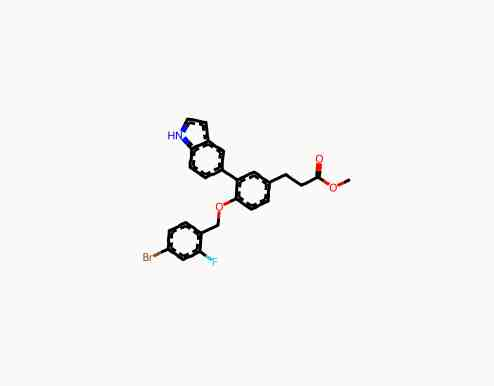 COC(=O)CCc1ccc(OCc2ccc(Br)cc2F)c(-c2ccc3[nH]ccc3c2)c1